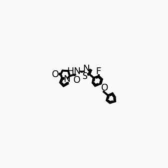 O=C1CCC(C(=O)Nc2ncc(-c3ccc(OCc4ccccc4)cc3F)s2)n2cccc21